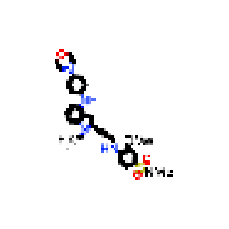 CNS(=O)(=O)c1ccc(NCC#Cc2cc3c(N[C@H]4CC[C@@H](N5CCOCC5)CC4)cccc3n2CC(F)(F)F)c(OC)c1